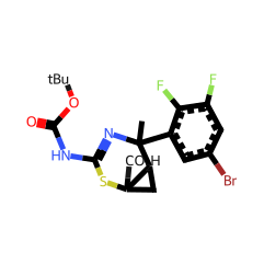 CC(C)(C)OC(=O)NC1=NC(C)(c2cc(Br)cc(F)c2F)C2CC2(C(=O)O)S1